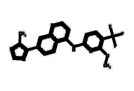 COc1nc(Nc2ccnc3cc(-c4ncsc4C)ccc23)ccc1C(F)(F)F